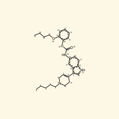 CCCCCN1CC=C(c2c[nH]c3ccc(NC(=O)Oc4ccccc4OCCCC)cc23)CC1